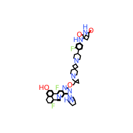 C#CC1=C(F)CCc2cc(O)cc(-c3ncc4c(N5CC6CCC(C5)N6)nc(OCC5(CN6CCC7(CC6)CC(N6CCC(c8ccc(NC9%10CC(C9)C(=O)NC%10=O)cc8F)CC6)C7)CC5)nc4c3F)c21